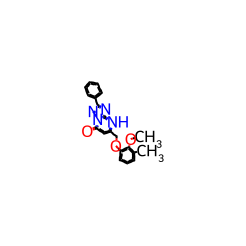 COc1c(C)cccc1OCc1cc(=O)n2nc(-c3ccccc3)nc2[nH]1